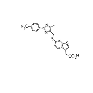 Cc1nn(-c2ccc(C(F)(F)F)cc2)nc1CSc1ccc2c(CC(=O)O)csc2c1